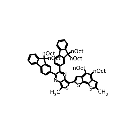 CCCCCCCCc1c(CCCCCCCC)c2cc(-c3sc(C)c4nc(-c5ccc6c(c5)C(CCCCCCCC)(CCCCCCCC)c5ccccc5-6)c(-c5ccc6c(c5)C(CCCCCCCC)(CCCCCCCC)c5ccccc5-6)nc34)sc2c2sc(C)cc12